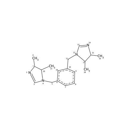 CC1N=CN(Cc2cccc(CN3C=NC(C)C3C)c2)C1C